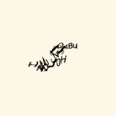 CC(C)(C)C1CN(C(O)CCc2nn[nH]n2)CCO1